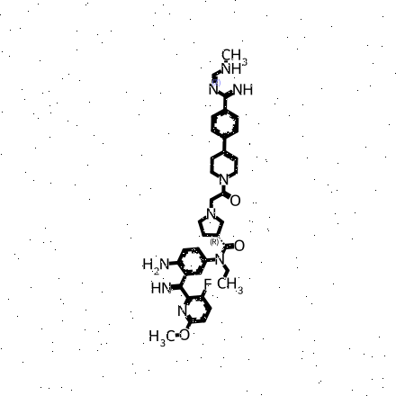 CCN(C(=O)[C@@H]1CCN(CC(=O)N2CC=C(c3ccc(C(=N)/N=C\NC)cc3)CC2)C1)c1ccc(N)c(C(=N)c2nc(OC)ccc2F)c1